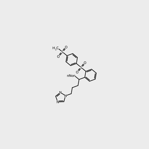 CCCCCCCCCC(CCCn1cncn1)c1ccccc1S(=O)(=O)c1ccc(S(C)(=O)=O)cc1